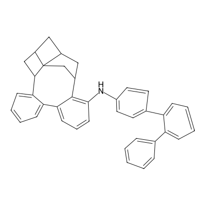 c1ccc(-c2ccccc2-c2ccc(Nc3cccc4c3C3CC5CC6CC(c7ccccc7-4)C56C3)cc2)cc1